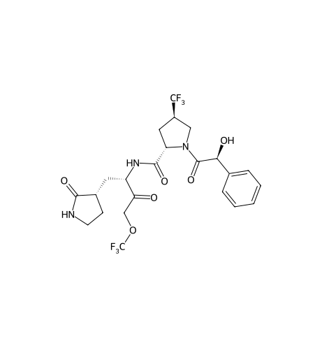 O=C1NCC[C@H]1C[C@H](NC(=O)[C@@H]1C[C@@H](C(F)(F)F)CN1C(=O)[C@@H](O)c1ccccc1)C(=O)COC(F)(F)F